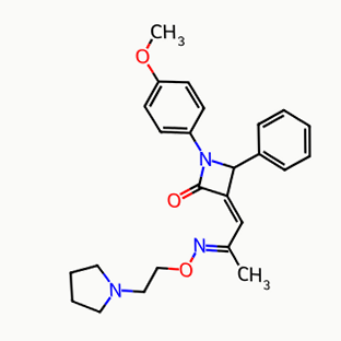 COc1ccc(N2C(=O)C(=CC(C)=NOCCN3CCCC3)C2c2ccccc2)cc1